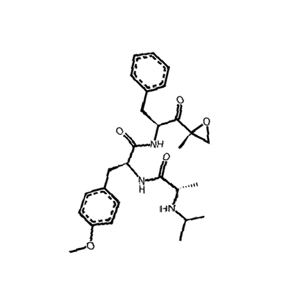 COc1ccc(C[C@H](NC(=O)[C@H](C)NC(C)C)C(=O)N[C@@H](Cc2ccccc2)C(=O)[C@@]2(C)CO2)cc1